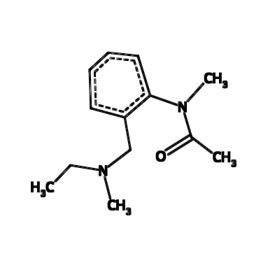 CCN(C)Cc1ccccc1N(C)C(C)=O